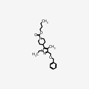 CCCCOC(=O)N1CCC(c2c(C)c(COCc3ccccc3)nn2CC)CC1